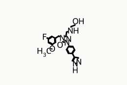 COc1cc(F)cc(Cn2c(CNCCO)nn(-c3ccc(-c4cn[nH]c4)cc3)c2=O)c1